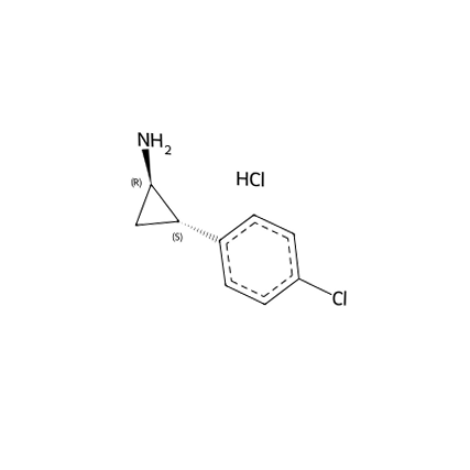 Cl.N[C@@H]1C[C@H]1c1ccc(Cl)cc1